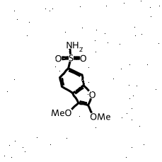 COc1oc2cc(S(N)(=O)=O)ccc2c1OC